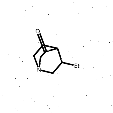 CCC1CN2CCC1C(=O)C2